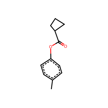 Cc1ccc(OC(=O)C2CCC2)cc1